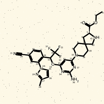 CCOC(=O)[C@@H]1CC2(CCN(c3cc(OC(c4ccc(C#N)cc4-n4ccc(C)n4)C(F)(F)F)nc(N)n3)CC2)CN1